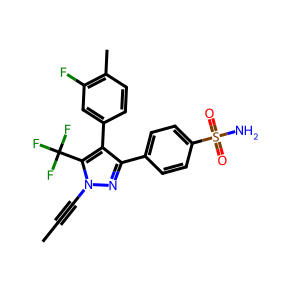 CC#Cn1nc(-c2ccc(S(N)(=O)=O)cc2)c(-c2ccc(C)c(F)c2)c1C(F)(F)F